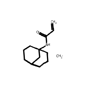 C=CC(=O)NC12CCCC(CCC1)C2.[CH2]